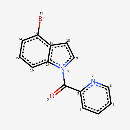 O=C(c1ccccn1)n1ccc2c(Br)cccc21